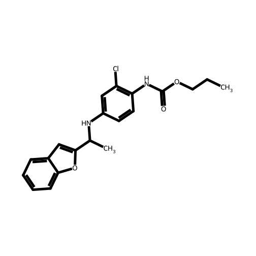 CCCOC(=O)Nc1ccc(NC(C)c2cc3ccccc3o2)cc1Cl